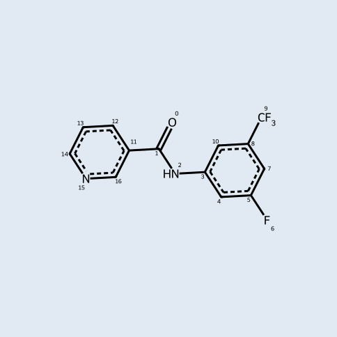 O=C(Nc1cc(F)cc(C(F)(F)F)c1)c1cccnc1